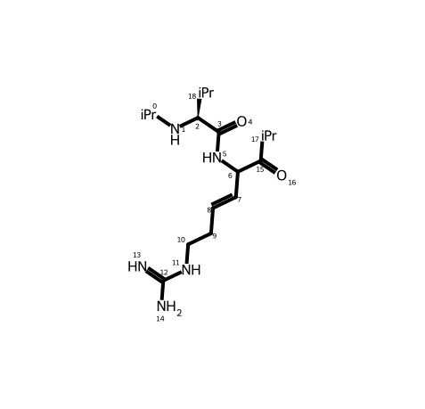 CC(C)N[C@H](C(=O)NC(/C=C/CCNC(=N)N)C(=O)C(C)C)C(C)C